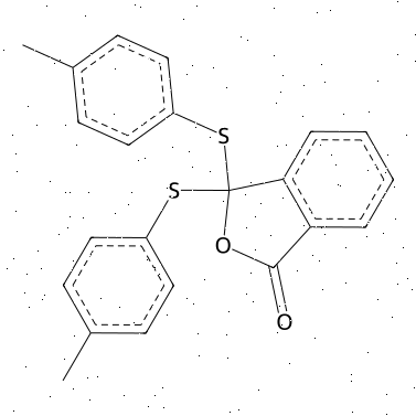 Cc1ccc(SC2(Sc3ccc(C)cc3)OC(=O)c3ccccc32)cc1